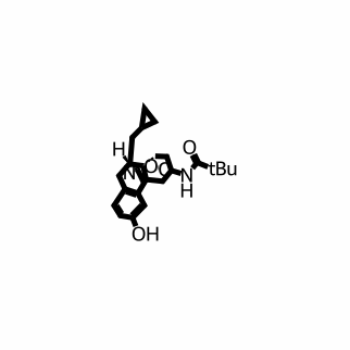 CC(C)(C)C(=O)NC12CC[C@@]3(OC1)[C@H]1Cc4ccc(O)cc4[C@@]3(CCN1CC1CC1)C2